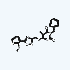 CSc1ncccc1-c1nc(CSc2[nH]c(=O)n(Cc3ccccc3)c(=O)c2C)no1